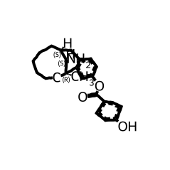 C[C@@]12CCCCCC[C@@H](Cc3ccc(OC(=O)c4ccc(O)cc4)cc31)[C@@H]2N